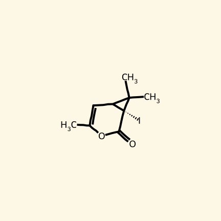 CC1=CC2C(C)(C)[C@@]2(I)C(=O)O1